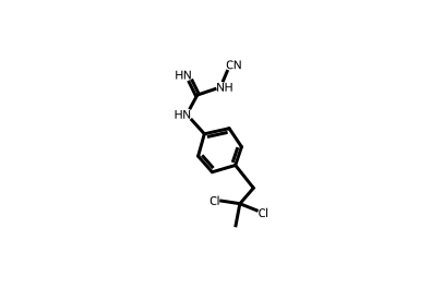 CC(Cl)(Cl)Cc1ccc(NC(=N)NC#N)cc1